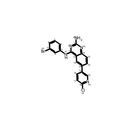 Nc1nc(Nc2cccc(Br)c2)c2cc(-c3ccc(Cl)nc3)ccc2n1